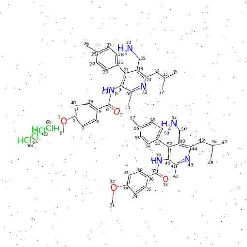 COc1ccc(C(=O)Nc2c(C)nc(CC(C)C)c(CN)c2-c2ccc(C)cc2)cc1.COc1ccc(C(=O)Nc2c(C)nc(CC(C)C)c(CN)c2-c2ccc(C)cc2)cc1.Cl.Cl.Cl.Cl